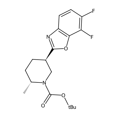 C[C@@H]1CC[C@@H](c2nc3ccc(F)c(F)c3o2)CN1C(=O)OC(C)(C)C